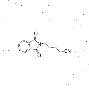 N#CCCCCN1C(=O)c2ccccc2C1=O